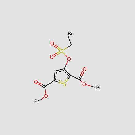 CCC(C)CS(=O)(=O)Oc1cc(C(=O)OC(C)C)sc1C(=O)OC(C)C